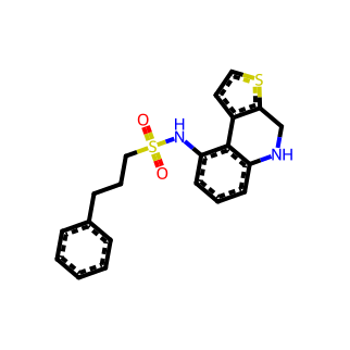 O=S(=O)(CCCc1ccccc1)Nc1cccc2c1-c1ccsc1CN2